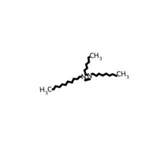 CCCCCCCCCCC[n+]1ccn(CCCCCCCCC)c1CCCCCC